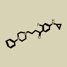 O=C(CCCN1CCN(c2ccccc2)CC1)c1ccc(NC2CC2)cc1F